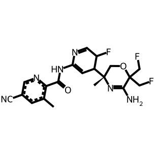 Cc1cc(C#N)cnc1C(=O)NC1=CC([C@]2(C)COC(CF)(CF)C(N)=N2)C(F)C=N1